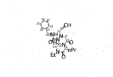 C#CCN1CC(=O)N2[C@@H](CCC)C(=O)N(CC)C[C@@H]2N1C(=O)NCc1ccccc1